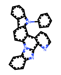 c1ccc(-n2c3ccccc3c3ccc4c(c5cccnc5c5nc6ccccc6n45)c32)cc1